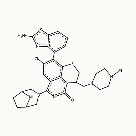 CCN1CCN(CC2CSc3c(-c4cccc5sc(N)nc45)c(Cl)cc4c(N5CC6CCC(C5)N6)nc(=O)n2c34)CC1